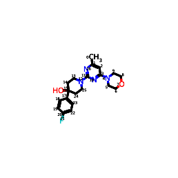 Cc1cc(N2CCOCC2)nc(N2CCC(O)(c3ccc(F)cc3)CC2)n1